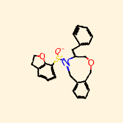 [O-][S+](c1cccc2c1OCC2)N1Cc2ccccc2COCC1Cc1ccccc1